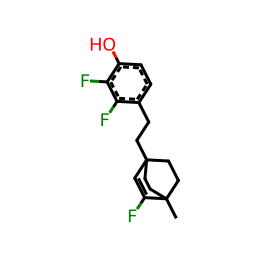 CC12CCC(CCc3ccc(O)c(F)c3F)(C=C1F)CC2